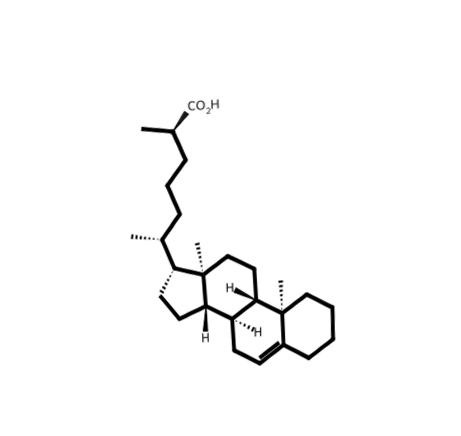 C[C@H](CCC[C@@H](C)[C@H]1CC[C@H]2[C@@H]3CC=C4CCCC[C@]4(C)[C@H]3CC[C@]12C)C(=O)O